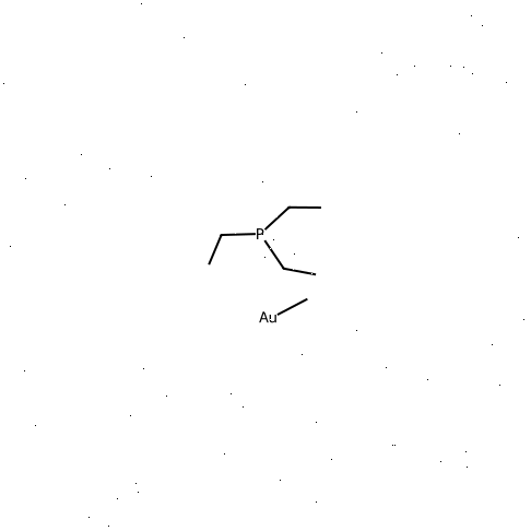 CCP(CC)CC.[CH3][Au]